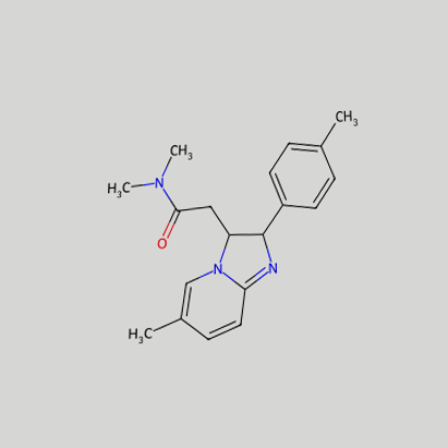 CC1=CN2C(=NC(c3ccc(C)cc3)C2CC(=O)N(C)C)C=C1